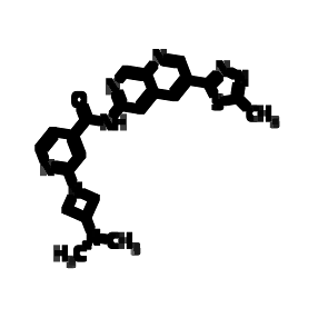 Cc1nnc(-c2cnc3cnc(NC(=O)c4ccnc(N5CC(N(C)C)C5)c4)cc3c2)s1